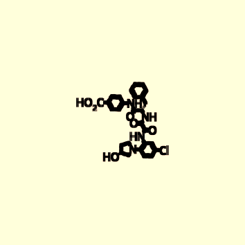 O=C(Nc1cc(Cl)ccc1N1CC[C@@H](O)C1)C(=O)N[C@@H](Cc1ccccc1)C(=O)Nc1ccc(C(=O)O)cc1